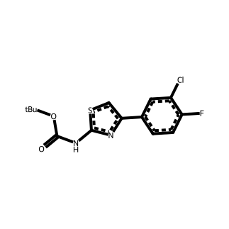 CC(C)(C)OC(=O)Nc1nc(-c2ccc(F)c(Cl)c2)cs1